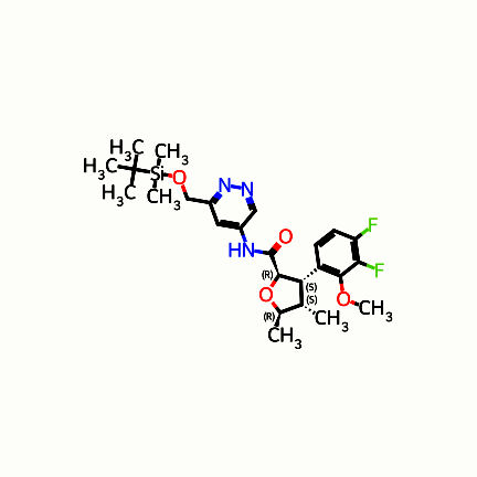 COc1c([C@@H]2[C@H](C)[C@@H](C)O[C@H]2C(=O)Nc2cnnc(CO[Si](C)(C)C(C)(C)C)c2)ccc(F)c1F